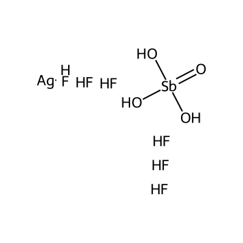 F.F.F.F.F.F.[Ag].[O]=[Sb]([OH])([OH])[OH]